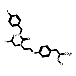 CCOC(Cc1ccc(OCCN(CC(CC)CC)C(=O)NCc2ccc(F)cc2)cc1)C(=O)O